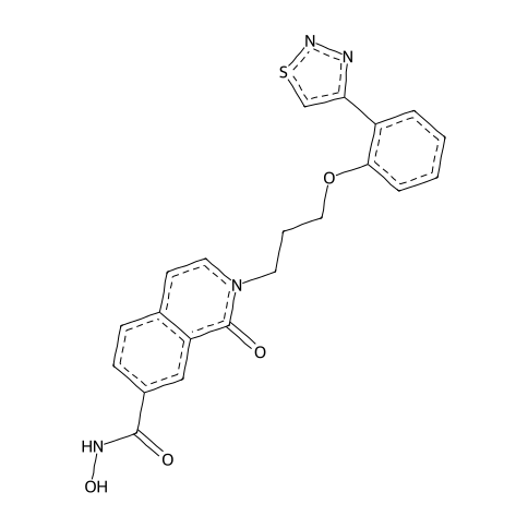 O=C(NO)c1ccc2ccn(CCCOc3ccccc3-c3csnn3)c(=O)c2c1